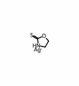 S=C1NCCO1.[Ag]